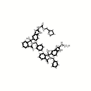 O=C(Nc1nc2cc(C3(O)c4ccccc4C(=O)N3Cc3ccccc3)ccc2[nH]1)OCC1CCCO1.O=C(O)Nc1nc2cc(C3(O)c4ccccc4C(=O)N3Cc3ccccc3)ccc2[nH]1